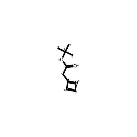 CC(C)(C)OC(=O)CC1=NC=C1